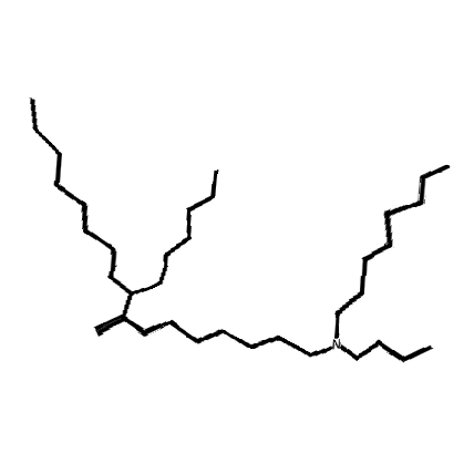 C=C(CCCCCCCN(CCCC)CCCCCCCC)C(CCCCCC)CCCCCCCC